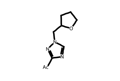 CC(=O)c1ncn(CC2CCCO2)n1